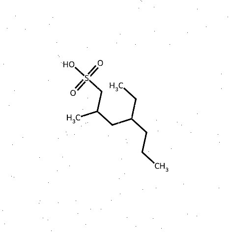 CCCC(CC)CC(C)CS(=O)(=O)O